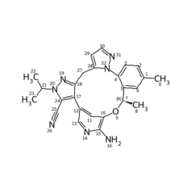 Cc1ccc2c(c1)[C@@H](C)Oc1cc(cnc1N)-c1c(nn(C(C)C)c1C#N)Cc1ccnn1-2